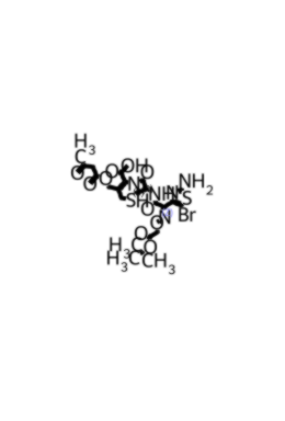 CC(=O)CC(=O)OCC1=C(C(=O)O)N2C(=O)[C@@H](NC(=O)/C(=N\OCC(=O)OC(C)(C)C)c3nc(N)sc3Br)[C@@H]2SC1